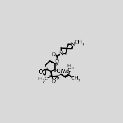 CO[C@H]1C([C@@]2(C)O[C@@H]2CC=C(C)C)[C@]2(CC[C@H]1OC(=O)N1CC3(CN(C)C3)C1)CO2